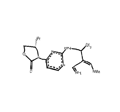 CN/C=C(\C=N)C(C)Nc1nccc(N2C(=O)OC[C@@H]2C(C)C)n1